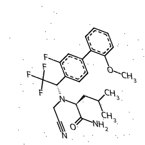 COc1ccccc1-c1ccc([C@H](N(CC#N)[C@@H](CC(C)C)C(N)=O)C(F)(F)F)c(F)c1